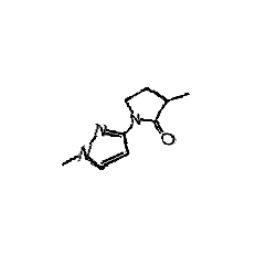 CC1CCN(c2ccn(C)n2)C1=O